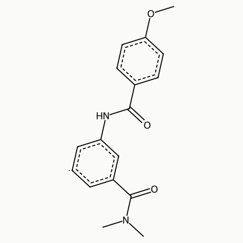 COc1ccc(C(=O)Nc2c[c]cc(C(=O)N(C)C)c2)cc1